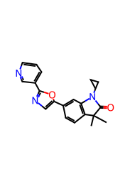 CC1(C)C(=O)N(C2CC2)c2cc(-c3cnc(-c4cccnc4)o3)ccc21